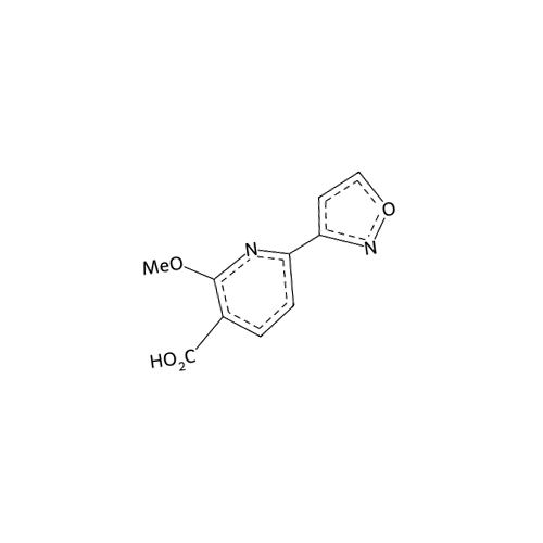 COc1nc(-c2ccon2)ccc1C(=O)O